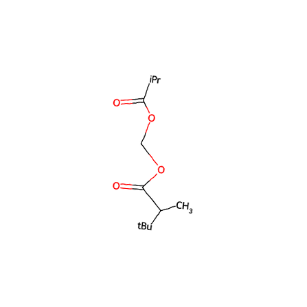 CC(C)C(=O)OCOC(=O)C(C)C(C)(C)C